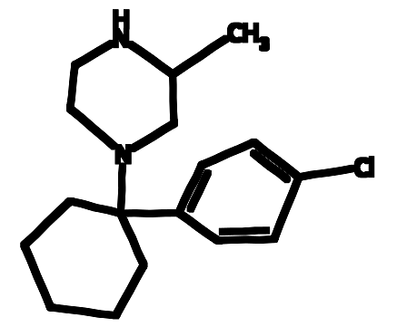 CC1CN(C2(c3ccc(Cl)cc3)CCCCC2)CCN1